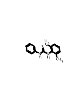 Cc1cccc(C)c1NC(=S)Nc1ccccc1